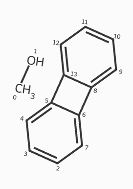 CO.c1ccc2c(c1)-c1ccccc1-2